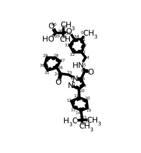 Cc1cc(CNC(=O)c2cc(-c3ccc(C(C)(C)C)cc3)nn2CC(=O)c2ccccc2)ccc1OC(C)(C)C(=O)O